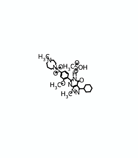 COc1cc(S(=O)(=O)N2CCCN(C)CC2)ccc1-c1nc2c(c(C3CCCCC3)nn2C)c(=O)[nH]1.CS(=O)(=O)O